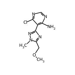 COCc1nc(-c2c(N)ncnc2Cl)nn1C